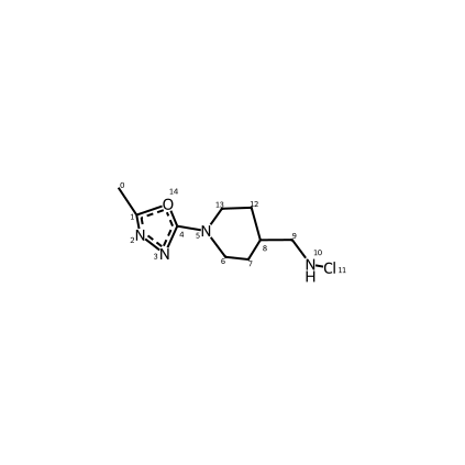 Cc1nnc(N2CCC(CNCl)CC2)o1